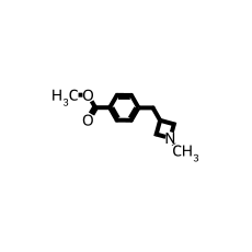 COC(=O)c1ccc(CC2CN(C)C2)cc1